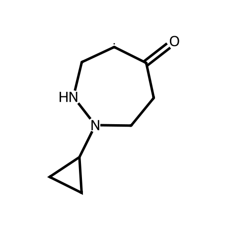 O=C1[CH]CNN(C2CC2)CC1